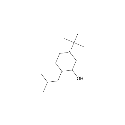 CC(C)CC1CCN(C(C)(C)C)CC1O